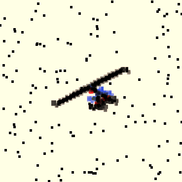 CCCCCCCCC=CCCCCCCCCN(CCCCCCCCC=CCCCCCCCC)C(=O)CCNC(=NCC(N)C(=O)OC(C)(C)C)NCC(N)C(=O)OC(C)(C)C